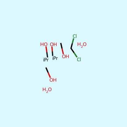 CC(C)O.CC(C)O.CO.CO.ClCCl.O.O